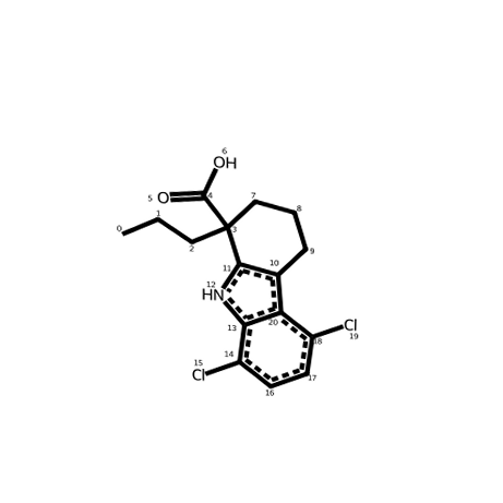 CCCC1(C(=O)O)CCCc2c1[nH]c1c(Cl)ccc(Cl)c21